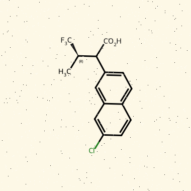 C[C@H](C(C(=O)O)c1ccc2ccc(Cl)cc2c1)C(F)(F)F